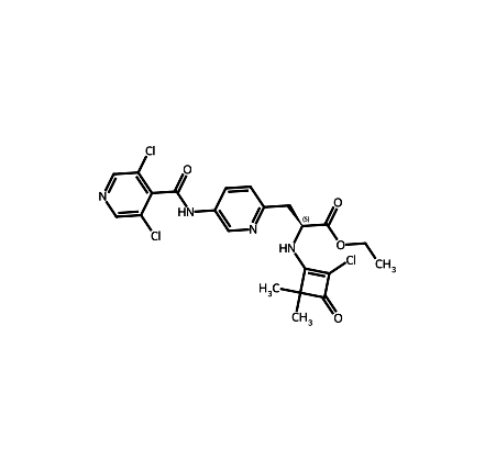 CCOC(=O)[C@H](Cc1ccc(NC(=O)c2c(Cl)cncc2Cl)cn1)NC1=C(Cl)C(=O)C1(C)C